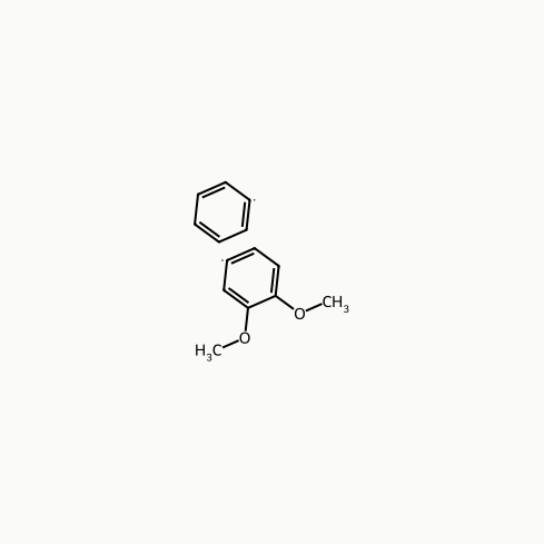 COc1c[c]ccc1OC.[c]1ccccc1